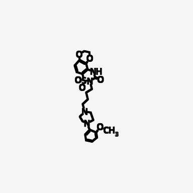 COc1ccccc1N1CCN(CCCCN2C(=O)Nc3c(ccc4c3OCCO4)S2(=O)=O)CC1